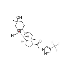 C[C@@]1(O)CC[C@]23CO[C@H](C[C@@H]4C2=CC[C@]2(C)[C@@H](C(=O)Cn5cc(C(F)(F)F)cn5)CC[C@@H]42)C3C1